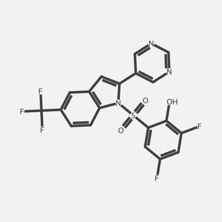 O=S(=O)(c1cc(F)cc(F)c1O)n1c(-c2cncnc2)cc2cc(C(F)(F)F)ccc21